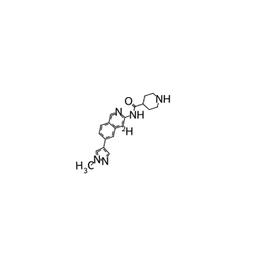 [2H]c1c(NC(=O)C2CCNCC2)ncc2ccc(-c3cnn(C)c3)cc12